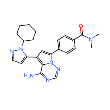 CN(C)C(=O)c1ccc(-c2cc(-c3ccnn3C3CCCCC3)c3c(N)ncnn23)cc1